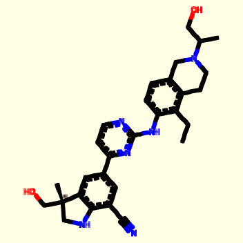 CCc1c(Nc2nccc(-c3cc(C#N)c4c(c3)[C@@](C)(CO)CN4)n2)ccc2c1CCN(C(C)CO)C2